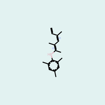 C=C/C(C)=C\C(C)=C(/C)Bc1c(C)cc(C)cc1C